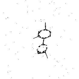 Cc1ccc(-c2nc(C)c[nH]2)c(O)c1